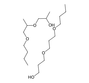 CCCCOCC(C)OCC(C)O.CCCCOCCCOCCCO